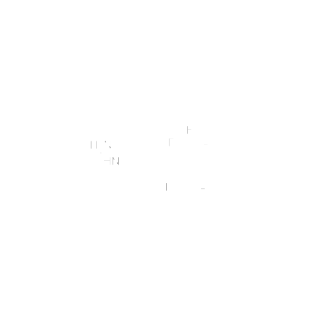 NNC1CCC(C(C2CCCCC2)(C(F)(F)F)C(F)(F)F)CC1